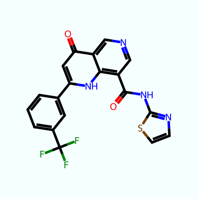 O=C(Nc1nccs1)c1cncc2c(=O)cc(-c3cccc(C(F)(F)F)c3)[nH]c12